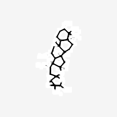 CC(=O)O[C@@H]1C[C@@]23C[C@@]24CC[C@H](O)C(C)(C)[C@@H]4CC[C@H]3[C@]2(C)C[C@@H]3OC4(C[C@@H](C)[C@@H]3[C@@]12C)OC(O)C1(C)OC41